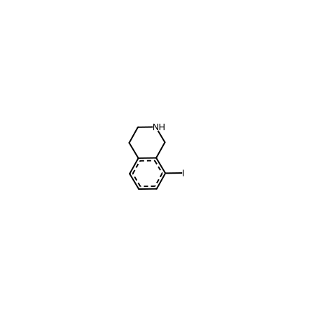 Ic1cccc2c1CNCC2